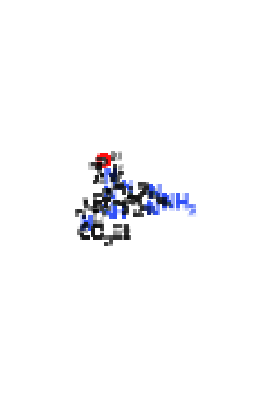 CCOC(=O)N1CC[C@@](CC)(Nc2cc(-c3cnc(N)nc3)nc(N3CCOCC3)n2)C1